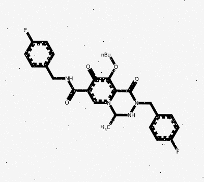 CCCCOc1c2n(cc(C(=O)NCc3ccc(F)cc3)c1=O)C(C)NN(Cc1ccc(F)cc1)C2=O